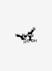 N#Cc1c[nH]c(-n2cc(C#N)nc2C(=O)O)n1